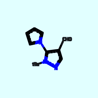 CC(C)(C)n1ncc(C=O)c1-n1cccc1